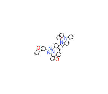 c1ccc(-c2nc(-c3ccc4oc5ccccc5c4c3)nc(-c3cccc4oc5ccc(-c6ccc7c(c6)c6ccc8c9ccccc9n(-c9ccccc9)c8c6n7-c6ccccc6)cc5c34)n2)cc1